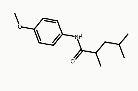 COc1ccc(NC(=O)C(C)CC(C)C)cc1